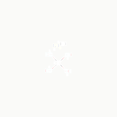 N.O[Si](O)(O)O.[KH]